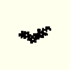 CCCn1c(F)nc2nc(C3C=NN(Cc4cccc(C(F)(F)F)c4)C3)[nH]c2c1=O